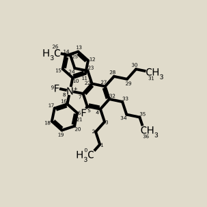 CCCCc1c(F)c([N+](F)(c2ccccc2)c2ccccc2)c(CCCC)c(CCCC)c1CCCC